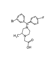 CC1CN([C@H](c2ccc(F)cc2)c2cccc(Br)c2)CCN1CC(=O)O